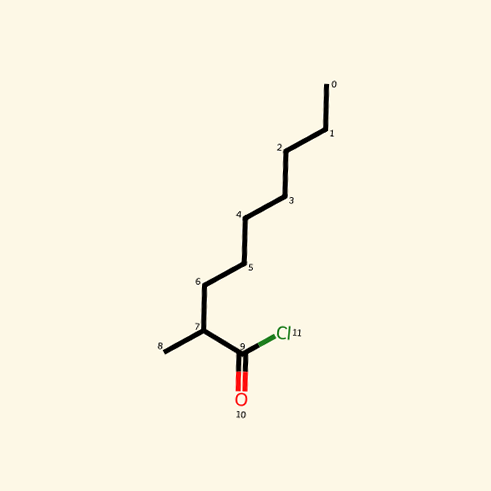 CCCCCCCC(C)C(=O)Cl